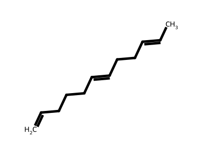 C=CCCC/C=C/CC/C=C/C